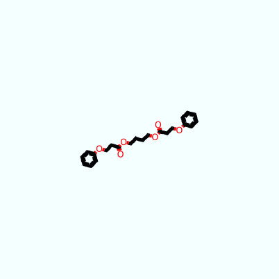 O=C(CCOc1ccccc1)OC[CH]CCOC(=O)CCOc1ccccc1